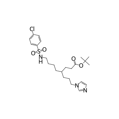 CC(C)(C)OC(=O)CCC(CCCCNS(=O)(=O)c1ccc(Cl)cc1)CCCn1ccnc1